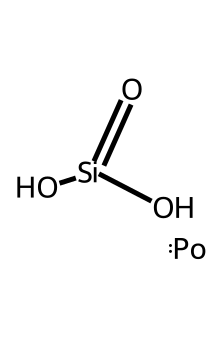 O=[Si](O)O.[Po]